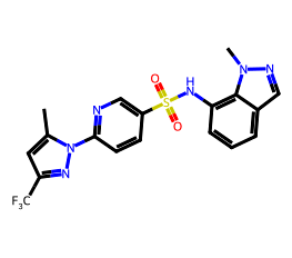 Cc1cc(C(F)(F)F)nn1-c1ccc(S(=O)(=O)Nc2cccc3cnn(C)c23)cn1